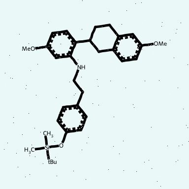 COc1ccc2c(c1)CCC(c1ccc(OC)cc1NCCc1ccc(O[Si](C)(C)C(C)(C)C)cc1)C2